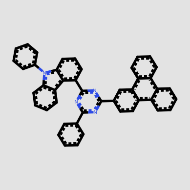 c1ccc(-c2nc(-c3ccc4c5ccccc5c5ccccc5c4c3)nc(-c3cccc4c3c3ccccc3n4-c3ccccc3)n2)cc1